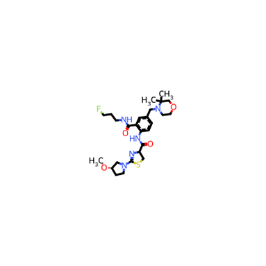 CO[C@H]1CCN(C2=NC(C(=O)Nc3ccc(CN4CCOCC4(C)C)cc3C(=O)NCCCF)CS2)C1